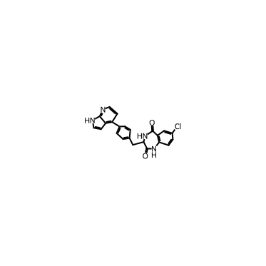 O=C1NC(Cc2ccc(-c3ccnc4[nH]ccc34)cc2)C(=O)Nc2ccc(Cl)cc21